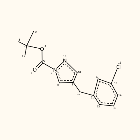 CC(C)(C)OC(=O)n1cc(Cc2cccc(Cl)c2)cn1